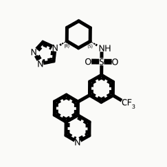 O=S(=O)(N[C@H]1CCC[C@@H](n2cnnc2)C1)c1cc(-c2cccc3cnccc23)cc(C(F)(F)F)c1